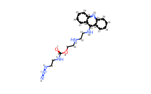 [N-]=[N+]=NCCNC(=O)OCCNCCNc1c2ccccc2nc2ccccc12